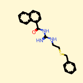 N=C(NCCSCc1ccccc1)NC(=O)c1cccc2ccccc12